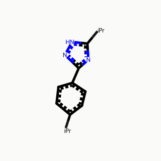 CC(C)c1ccc(-c2n[nH]c(C(C)C)n2)cc1